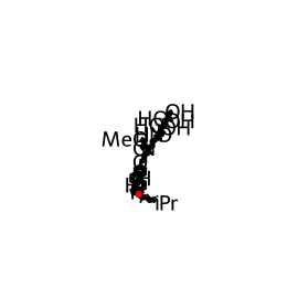 COCC(=O)N(CCCNC(=O)[C@H](O)[C@@H](O)[C@H](O)[C@H](O)CO)CCCO[C@H]1CC[C@@]2(C)C(=CC[C@H]3[C@@H]4CC[C@H]([C@H](C)CCCC(C)C)[C@@]4(C)CC[C@@H]32)C1